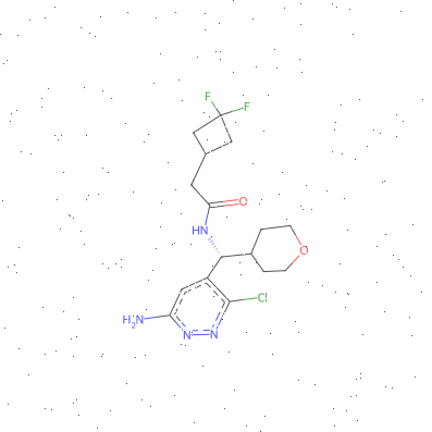 Nc1cc([C@H](NC(=O)CC2CC(F)(F)C2)C2CCOCC2)c(Cl)nn1